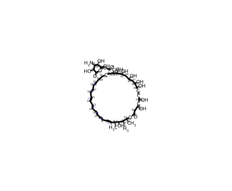 C[C@@H]1[C@H](O)[C@@H](C)/C=C/C=C/C=C/C=C/C=C/C=C/C=C/[C@H](OC2O[C@H](C)[C@@H](O)[C@H](N)[C@@H]2O)CC[C@H](C(=O)O)[C@@H](C)[C@H](O)C(O)C[C@@H](O)C[C@@H](O)[C@H](O)CC[C@@H](O)C[C@@H](O)CC(=O)O[C@H]1C